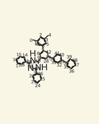 Cc1cc(C)cc(C2=CC(C3NC(c4ccccc4)=NC(c4ccccc4)N3)=CC(c3ccc(-c4ccccc4)cc3)C2)c1